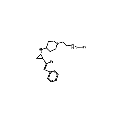 CC/C(=C\c1ccccc1)[C@H]1C[C@@H]1NC1CCN(CCNSC(C)C)CC1